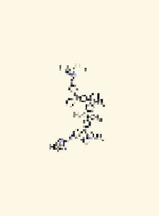 C=C/C=C(\C=C/C)/C=C/c1ccc(N(c2ccccc2)c2ccc(C(C)(N)c3ccc(C(C)(C)c4ccc(N(/C(C=C)=C/C)c5ccc(/C=C/C(/C=C\C)=C/C)cc5)cc4)cc3)cc2)cc1